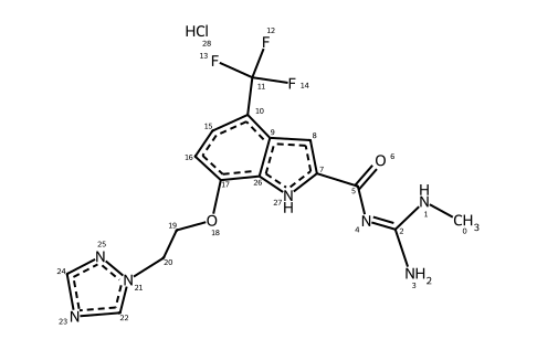 CNC(N)=NC(=O)c1cc2c(C(F)(F)F)ccc(OCCn3cncn3)c2[nH]1.Cl